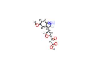 COC(=O)CC(=O)c1cc(-c2c[nH]c3ccc(OC)cc23)co1